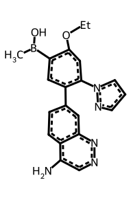 CCOc1cc(-n2cccn2)c(-c2ccc3c(N)cnnc3c2)cc1B(C)O